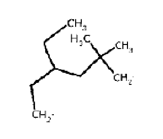 [CH2]CC(CC)CC([CH2])(C)C